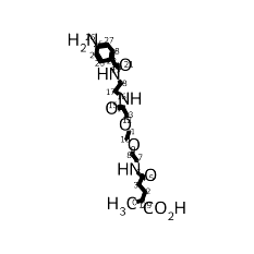 CC(CCC(=O)NCCOCCOCC(=O)NCCNC(=O)c1ccc(N)cc1)C(=O)O